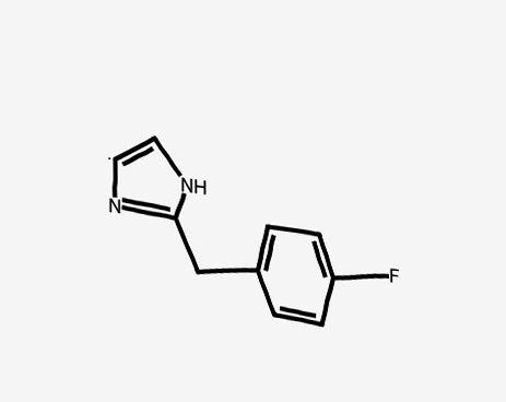 Fc1ccc(Cc2n[c]c[nH]2)cc1